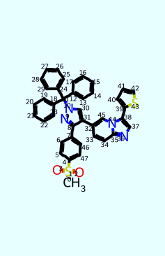 CS(=O)(=O)c1ccc(-c2nn(C(c3ccccc3)(c3ccccc3)c3ccccc3)cc2-c2ccc3ncc(-c4cccs4)n3c2)cc1